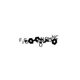 N#Cc1ccccc1OCC(O)Cn1nc2ccc(-c3ccc(OC(F)(F)F)cc3)cn2c1=O